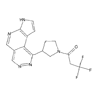 O=C(CC(F)(F)F)N1CCC(c2nncc3cnc4[nH]ccc4c23)C1